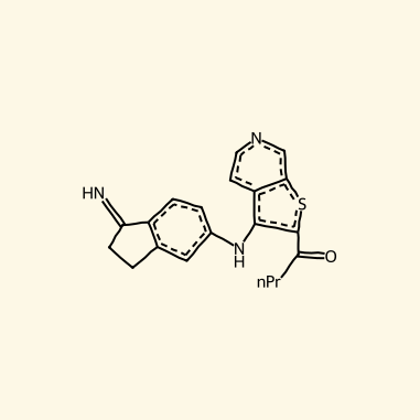 CCCC(=O)c1sc2cnccc2c1Nc1ccc2c(c1)CCC2=N